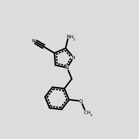 COc1ccccc1Cn1cc(C#N)c(N)n1